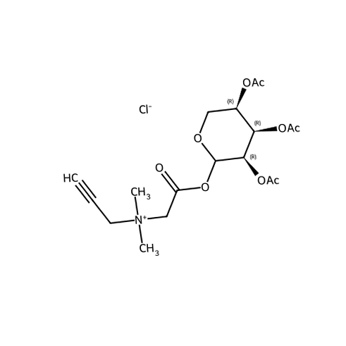 C#CC[N+](C)(C)CC(=O)OC1OC[C@@H](OC(C)=O)[C@@H](OC(C)=O)[C@H]1OC(C)=O.[Cl-]